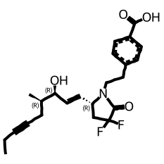 CCC#CC[C@@H](C)[C@@H](O)C=C[C@H]1CC(F)(F)C(=O)N1CCc1ccc(C(=O)O)cc1